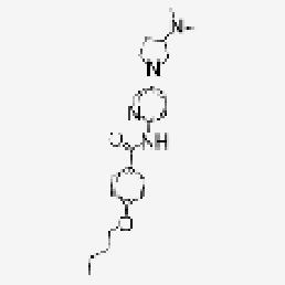 CCCCOc1ccc(C(=O)Nc2ccc(N3CCC(N(C)C)C3)cn2)cc1